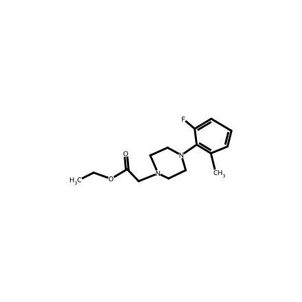 CCOC(=O)CN1CCN(c2c(C)cccc2F)CC1